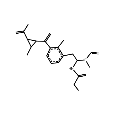 C=C(CC)NC(Cc1cccc(C(=C)C2C(C)C2C(=C)C)c1C)B(C)C=O